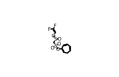 O=S(CS(=O)(=O)OC1=CCC=CC=C1)OC=C(F)F